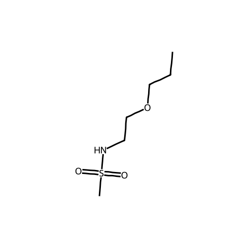 CCCOCCNS(C)(=O)=O